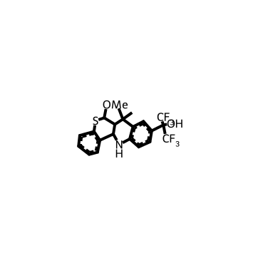 COC1Sc2ccccc2C2Nc3ccc(C(O)(C(F)(F)F)C(F)(F)F)cc3C(C)(C)C12